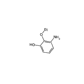 CCOc1c(N)cccc1O